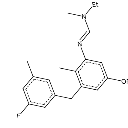 CCN(C)/C=N/c1cc(OC)cc(Cc2cc(C)cc(F)c2)c1C